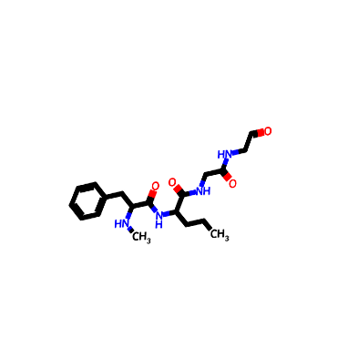 CCCC(NC(=O)C(Cc1ccccc1)NC)C(=O)NCC(=O)NCC=O